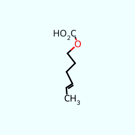 CC=CCCCOC(=O)O